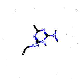 CCNC1=NC(C)N=C(N(C)C)N1C